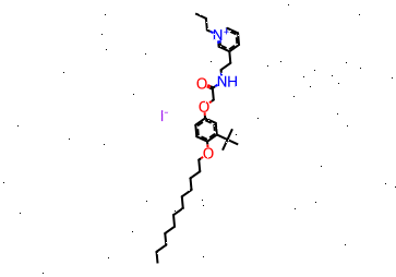 CCCCCCCCCCCCOc1ccc(OCC(=O)NCCc2ccc[n+](CCC)c2)cc1C(C)(C)C.[I-]